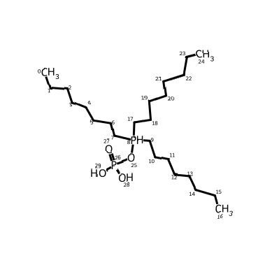 CCCCCCCC[PH](CCCCCCCC)(CCCCCCCC)OP(=O)(O)O